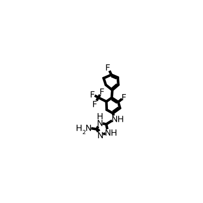 NC1=NNC(NC2=CC(F)=C(C3=CC=C(F)CC3)C(C(F)(F)F)C2)N1